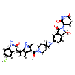 Cc1[nH]c2c(c1C(=O)N1CCC3(CC1)CN(c1ccc4c(c1)C(=O)N(C1CCC(=O)NC1=O)C4=O)C3)CC/C2=C1/C(=O)Nc2ccc(F)cc21